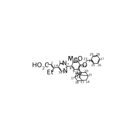 CC/C(=C\C(=O)O)c1cnc(-c2cc(C34CC5CC(CC(C5)C3)C4)c(OCc3ccccc3)cc2OC)nc1